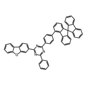 c1ccc(-c2nc(-c3ccc(-c4cccc5c4-c4ccccc4C54c5ccccc5-c5ccccc54)cc3)nc(-c3ccc4c(c3)oc3ccccc34)n2)cc1